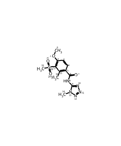 COc1ccc(C(=O)Nc2nnnn2C)c(C)c1S(C)(=O)=O